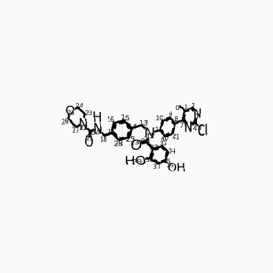 Cc1cnc(Cl)nc1-c1ccc(N(Cc2ccc(CNC(=O)N3CCOCC3)cc2)C(=O)c2ccc(O)cc2O)cc1